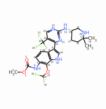 COC(=O)Nc1ccc2c(-c3nc(N[C@H]4CCC(C)(C)NC4)ncc3C(F)(F)F)c[nH]c2c1OC(F)F